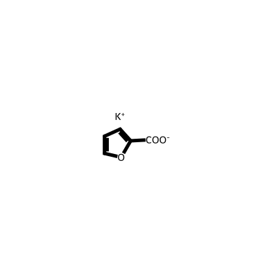 O=C([O-])c1ccco1.[K+]